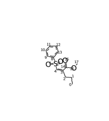 CCCC(=CS(=O)(=O)c1ccccc1)C(=O)OC